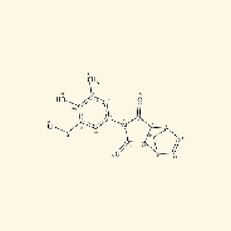 Cc1cc(N2C(=O)C3C4C=CC(C4)C3C2=O)cc(CCl)c1O